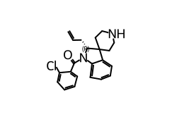 C=CC[C@H]1N(C(=O)c2ccccc2Cl)c2ccccc2C12CCNCC2